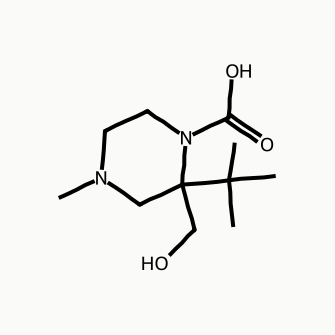 CN1CCN(C(=O)O)C(CO)(C(C)(C)C)C1